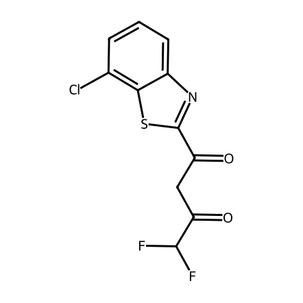 O=C(CC(=O)C(F)F)c1nc2cccc(Cl)c2s1